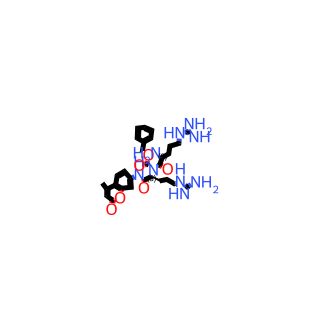 Cc1cc(=O)oc2cc(NC(=O)[C@H](CCCNC(=N)N)N(C(=O)OCc3ccccc3)C(=O)[C@@H](N)CCCNC(=N)N)ccc12